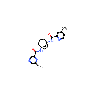 Cc1ccnc(C(=O)NC23CCCC(NC(=O)c4cncc(C)n4)(CC2)C3)c1